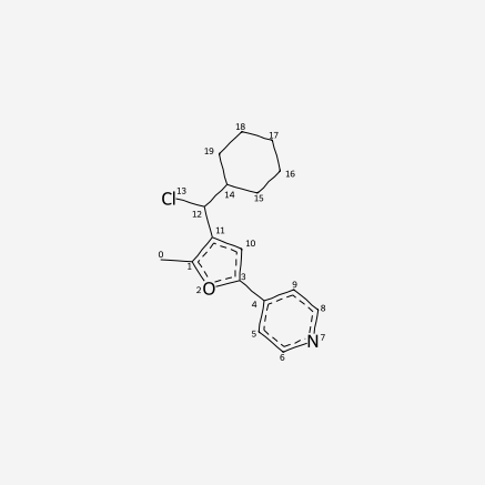 Cc1oc(-c2ccncc2)cc1C(Cl)C1CCCCC1